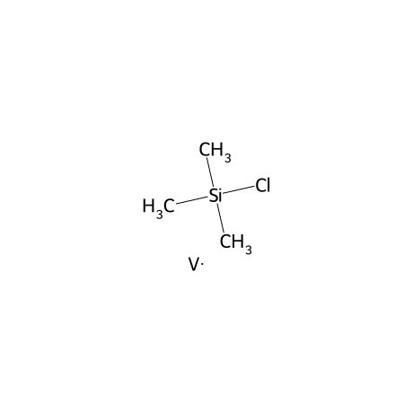 C[Si](C)(C)Cl.[V]